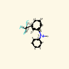 CN(c1ccccc1)c1cccc(C(F)(F)F)c1